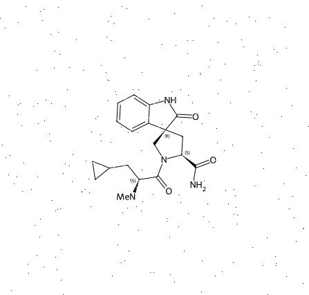 CN[C@@H](CC1CC1)C(=O)N1C[C@]2(C[C@H]1C(N)=O)C(=O)Nc1ccccc12